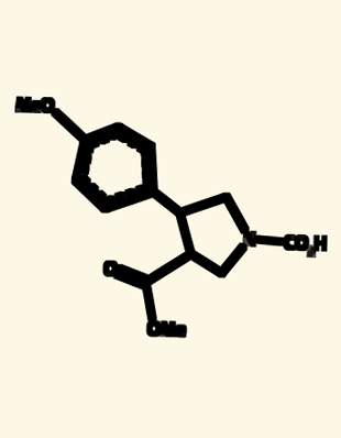 COC(=O)C1CN(C(=O)O)CC1c1ccc(OC)cc1